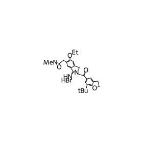 Br.CCOc1cc2c(cc1CC(=O)NC)C(=N)N(CC(=O)c1cc3c(c(C(C)(C)C)c1)OCC3)C2